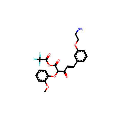 COc1ccccc1OC(C(=O)C=Cc1cccc(OCCN)c1)C(=O)OC(=O)C(F)(F)F